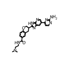 CN(C)CCNC(=O)c1ccc2c(c1)CC(c1nc3cc(-c4ccnc(N)n4)cnc3[nH]1)CO2